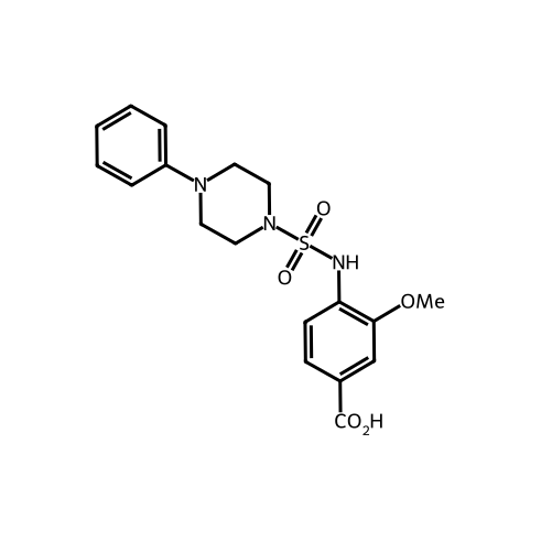 COc1cc(C(=O)O)ccc1NS(=O)(=O)N1CCN(c2ccccc2)CC1